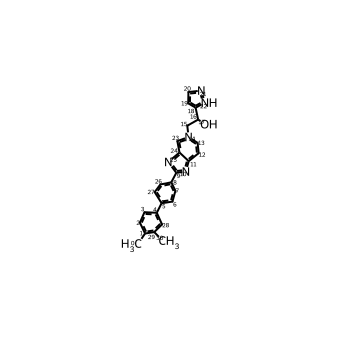 Cc1ccc(-c2ccc(-c3nc4ccn(CC(O)c5ccn[nH]5)cc-4n3)cc2)cc1C